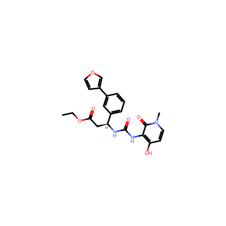 CCOC(=O)C[C@H](NC(=O)Nc1c(O)ccn(C)c1=O)c1cccc(-c2ccoc2)c1